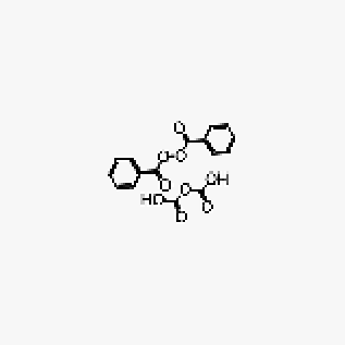 O=C(O)OC(=O)O.O=C(OOC(=O)c1ccccc1)c1ccccc1